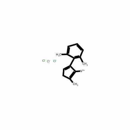 CC1=[C]([V+3])C(c2c(C)cccc2C)=CC1.[Cl-].[Cl-].[Cl-]